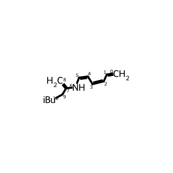 C=C/C=C\C=C/NC(=C)CC(C)CC